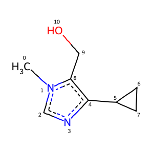 Cn1cnc(C2CC2)c1CO